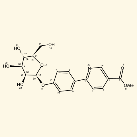 COC(=O)c1ccc(-c2ccc(O[C@@H]3O[C@H](CO)[C@@H](O)[C@H](O)[C@@H]3O)cc2)nc1